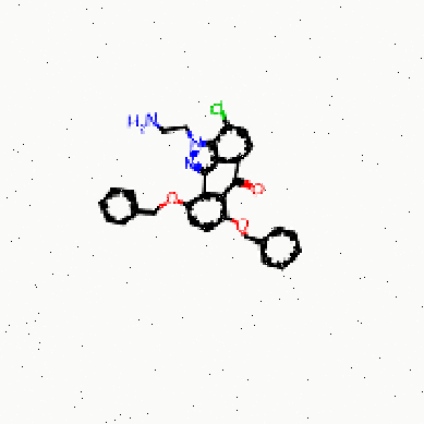 NCCn1nc2c3c(ccc(Cl)c31)C(=O)c1c(OCc3ccccc3)ccc(OCc3ccccc3)c1-2